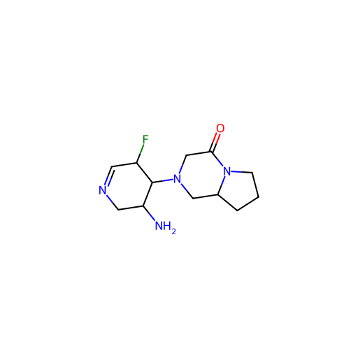 NC1CN=CC(F)C1N1CC(=O)N2CCCC2C1